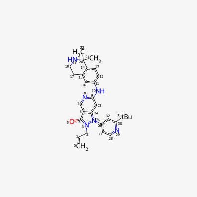 C=CCn1c(=O)c2cnc(Nc3ccc4c(c3)CCNC4(C)C)cc2n1-c1ccnc(C(C)(C)C)c1